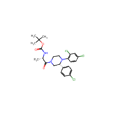 C[C@H](NC(=O)OC(C)(C)C)C(=O)N1CCN(c2ccc(Cl)cc2Cl)[C@H](c2ccc(Cl)cc2)C1